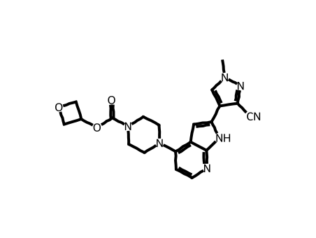 Cn1cc(-c2cc3c(N4CCN(C(=O)OC5COC5)CC4)ccnc3[nH]2)c(C#N)n1